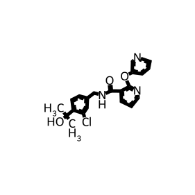 CC(C)(O)c1ccc(CNC(=O)c2cccnc2Oc2cccnc2)cc1Cl